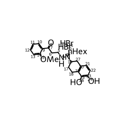 Br.Br.CCCCCCN(NCCC(=O)c1ccccc1OC)C1CCc2c(ccc(O)c2O)C1